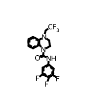 O=C(Nc1cc(F)c(F)c(F)c1)N1CCN(CC(F)(F)F)c2ccccc21